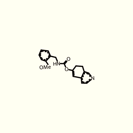 COc1ccccc1CNC(=O)OC1=Cc2ccncc2CC1